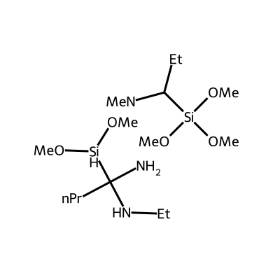 CCC(NC)[Si](OC)(OC)OC.CCCC(N)(NCC)[SiH](OC)OC